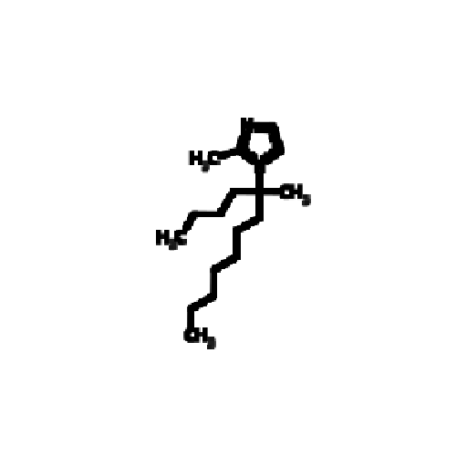 CCCCCCCC(C)(CCCC)n1ccnc1C